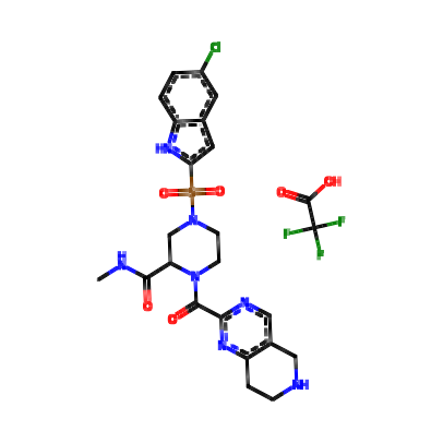 CNC(=O)C1CN(S(=O)(=O)c2cc3cc(Cl)ccc3[nH]2)CCN1C(=O)c1ncc2c(n1)CCNC2.O=C(O)C(F)(F)F